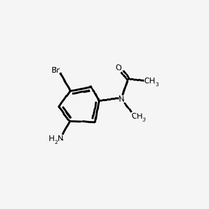 CC(=O)N(C)c1cc(N)cc(Br)c1